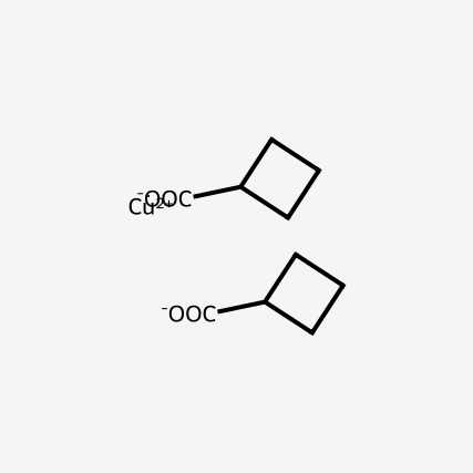 O=C([O-])C1CCC1.O=C([O-])C1CCC1.[Cu+2]